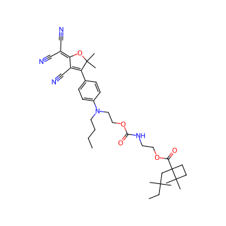 CCCCN(CCOC(=O)NCCOC(=O)C1(CC(C)(C)CC)CCC1(C)C)c1ccc(C2=C(C#N)C(=C(C#N)C#N)OC2(C)C)cc1